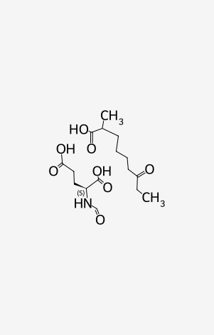 CCC(=O)CCCCC(C)C(=O)O.O=CN[C@@H](CCC(=O)O)C(=O)O